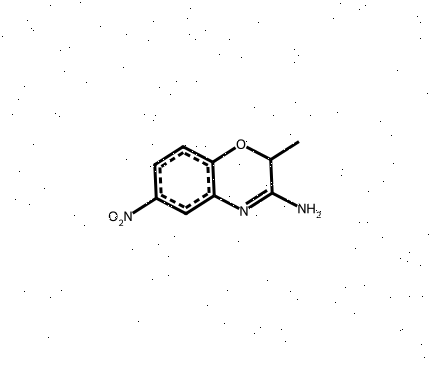 CC1Oc2ccc([N+](=O)[O-])cc2N=C1N